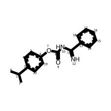 CC(C)c1ccc(OC(=O)NC(=N)c2cc[c]cc2)cc1